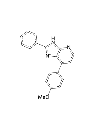 COc1ccc(-c2ccnc3[nH]c(-c4ccccc4)nc23)cc1